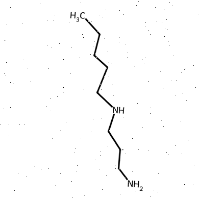 CCCCCNC[CH]CN